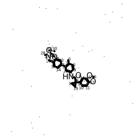 Cc1ccc(NC(=O)C2(c3ccc4c(c3)OCO4)CC2)cc1-c1ccc(CN(C)S(C)(=O)=O)cc1